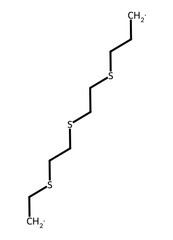 [CH2]CCSCCSCCSC[CH2]